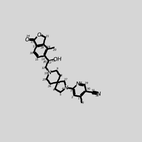 Cc1cc(N2CCC3(CCN(C[C@H](O)c4ccc5c(c4C)COC5=O)CC3)C2)ncc1C#N